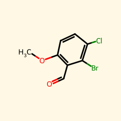 COc1ccc(Cl)c(Br)c1C=O